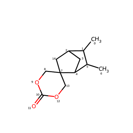 CC1C2CC(C1C)C1(COC(=O)OC1)C2